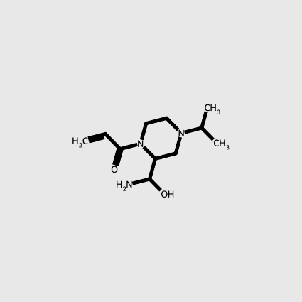 C=CC(=O)N1CCN(C(C)C)CC1C(N)O